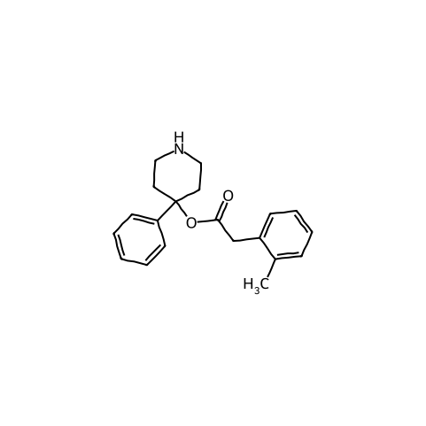 Cc1ccccc1CC(=O)OC1(c2ccccc2)CCNCC1